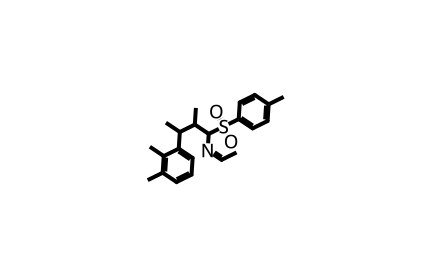 C/C=N\C(C(C)C(C)c1cccc(C)c1C)S(=O)(=O)c1ccc(C)cc1